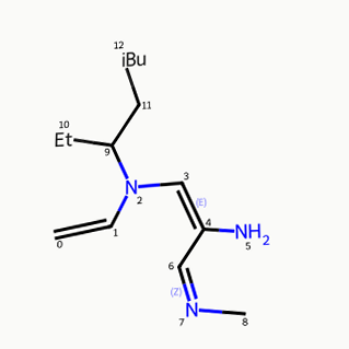 C=CN(/C=C(N)\C=N/C)C(CC)CC(C)CC